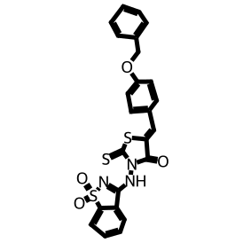 O=C1C(=Cc2ccc(OCc3ccccc3)cc2)SC(=S)N1NC1=NS(=O)(=O)c2ccccc21